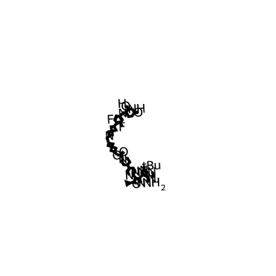 CC(C)(C)n1nc(-c2noc(C3CC3)c2-c2ncc(C3CCN(C(=O)OC4CC5(CC(CN6CC7(CC(c8c(F)cc(NC9CCC(=O)NC9=O)cc8F)C7)C6)C5)C4)CC3)cn2)c2c(N)ncnc21